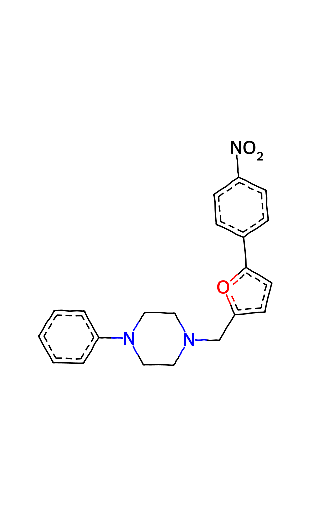 O=[N+]([O-])c1ccc(-c2ccc(CN3CCN(c4ccccc4)CC3)o2)cc1